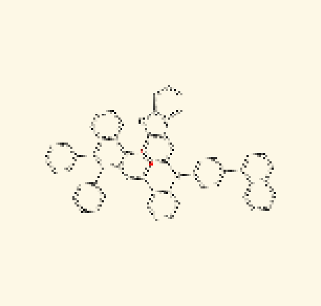 c1ccc(-c2c(-c3ccccc3)c3cc(-c4ccccc4N(c4ccc(-c5cccc6ccccc56)cc4)c4ccc5oc6ccccc6c5c4)ccc3c3ccccc23)cc1